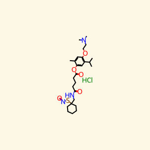 Cc1cc(OCCN(C)C)c(C(C)C)cc1OC(=O)CCCC(=O)NCC1(SN=O)CCCCC1.Cl